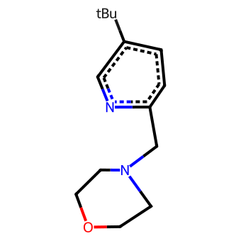 CC(C)(C)c1ccc(CN2CCOCC2)nc1